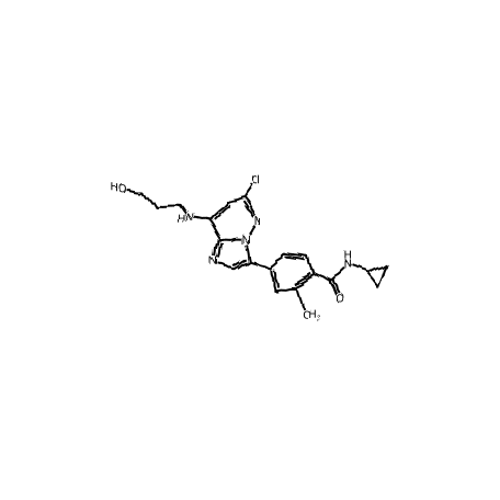 Cc1cc(-c2cnc3c(NCCCO)cc(Cl)nn23)ccc1C(=O)NC1CC1